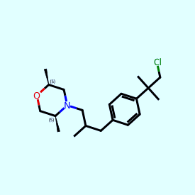 CC(Cc1ccc(C(C)(C)CCl)cc1)CN1C[C@H](C)OC[C@@H]1C